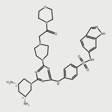 N[C@@H]1C[C@H](N)CN(c2nc(Nc3ccc(S(=O)(=O)Nc4ccc5cn[nH]c5c4)cc3)nc(N3CCN(CC(=O)N4CCOCC4)CC3)n2)C1